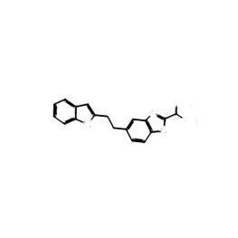 CC(C)c1nc2cc(CCc3cc4ccccc4[nH]3)ccc2[nH]1